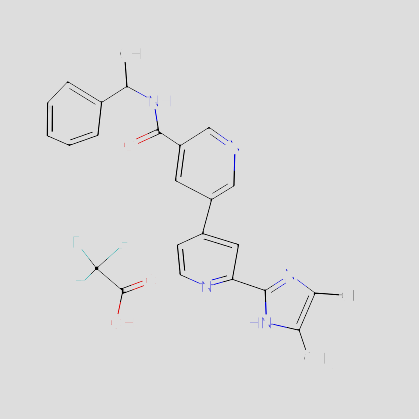 Cc1nc(-c2cc(-c3cncc(C(=O)NC(C)c4ccccc4)c3)ccn2)[nH]c1C.O=C(O)C(F)(F)F